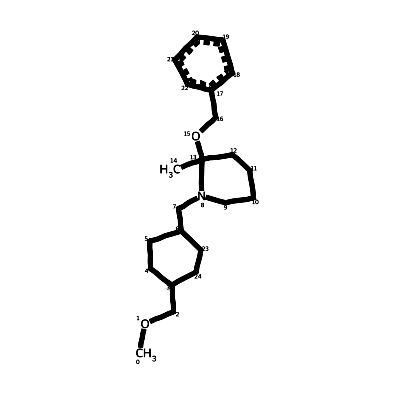 COCC1CCC(CN2CCCCC2(C)OCc2ccccc2)CC1